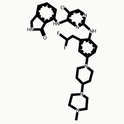 CN1CCN(C2CCN(c3ccc(Nc4ncc(Cl)c(Nc5cccc6c5C(=O)NC6)n4)c(CC(F)F)c3)CC2)CC1